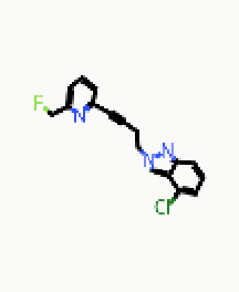 FCc1cccc(C#CCCn2cc3c(Cl)cccc3n2)n1